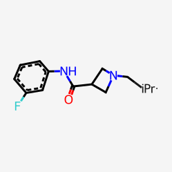 C[C](C)CN1CC(C(=O)Nc2cccc(F)c2)C1